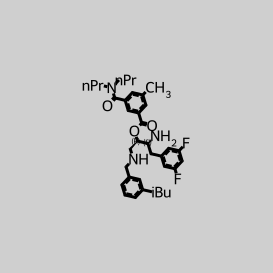 CCCN(CCC)C(=O)c1cc(C)cc(C(=O)O[C@H](CNCc2cccc(C(C)CC)c2)[C@@H](N)Cc2cc(F)cc(F)c2)c1